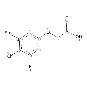 O=C(O)COc1cc(F)c(Cl)c(F)c1